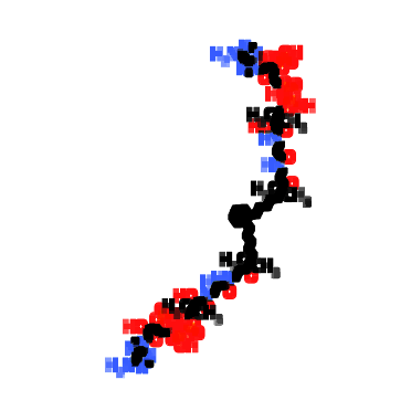 CC(C)(CCCCCc1ccccc1CCCCCC(C)(C)C(=O)CCNC(=O)CCNC(=O)C(O)C(C)(C)COP(=O)(O)OP(=O)(O)OCC1OC(n2cnc3c(N)ncnc32)C(O)C1OP(=O)(O)O)C(=O)CCNC(=O)CCNC(=O)C(O)C(C)(C)COP(=O)(O)OP(=O)(O)OCC1OC(n2cnc3c(N)ncnc32)C(O)C1OP(=O)(O)O